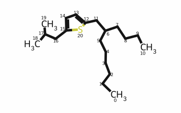 CCCCCCC(CCCC)Cc1ccc(CC(C)C)s1